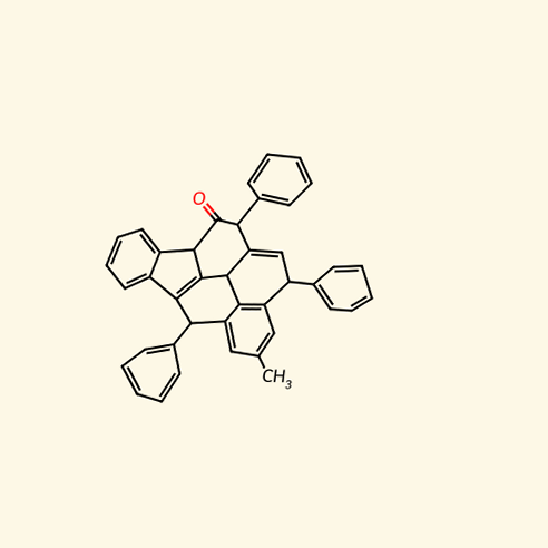 Cc1cc2c3c(c1)C(c1ccccc1)C1=C4C(C(=O)C(c5ccccc5)C(=CC2c2ccccc2)C43)c2ccccc21